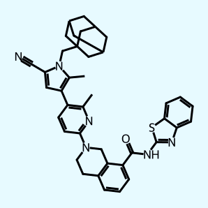 Cc1nc(N2CCc3cccc(C(=O)Nc4nc5ccccc5s4)c3C2)ccc1-c1cc(C#N)n(CC23CC4CC(CC(C4)C2)C3)c1C